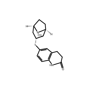 CN1[C@@H]2CC[C@H]1C[C@H](Sc1ccc3c(c1)CCC(=O)N3)C2